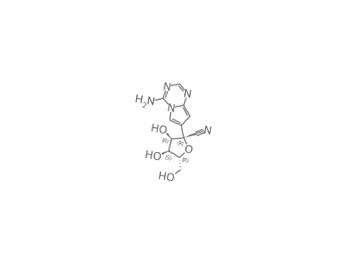 N#C[C@@]1(c2cc3ncnc(N)n3c2)O[C@H](CO)[C@@H](O)[C@H]1O